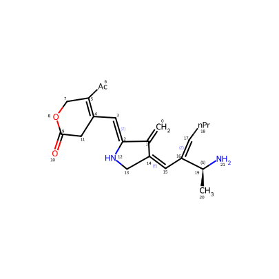 C=C1/C(=C/C2=C(C(C)=O)COC(=O)C2)NC/C1=C/C(=C/CCC)[C@H](C)N